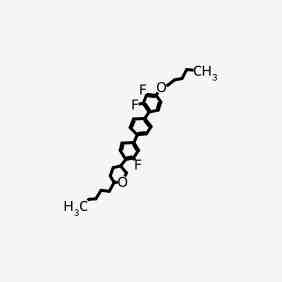 CCCCCOc1ccc(-c2ccc(-c3ccc(C4CCC(CCCCC)OC4)c(F)c3)cc2)c(F)c1F